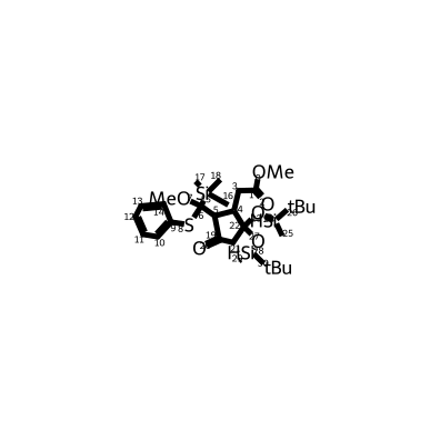 COC(=O)CC1C(C(OC)(Sc2ccccc2)[Si](C)(C)C)C(=O)CC1(O[SiH](C)C(C)(C)C)O[SiH](C)C(C)(C)C